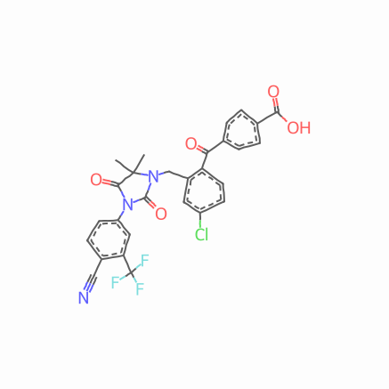 CC1(C)C(=O)N(c2ccc(C#N)c(C(F)(F)F)c2)C(=O)N1Cc1cc(Cl)ccc1C(=O)c1ccc(C(=O)O)cc1